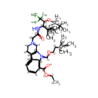 CCOC(=O)c1cccc2c3c(n(COCC[Si](C)(C)C)c12)CN(CC(=O)NC(C(C)C)C(O[Si](C)(C)C(C)(C)C)C(F)(F)F)CC3